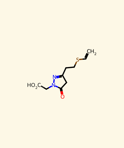 C=CSCCC1=NN(CC(=O)O)C(=O)C1